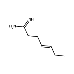 CCC=CCCC(=N)N